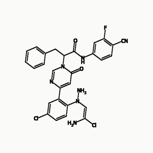 N#Cc1ccc(NC(=O)C(Cc2ccccc2)n2cnc(-c3cc(Cl)ccc3N(N)/C=C(\N)Cl)cc2=O)cc1F